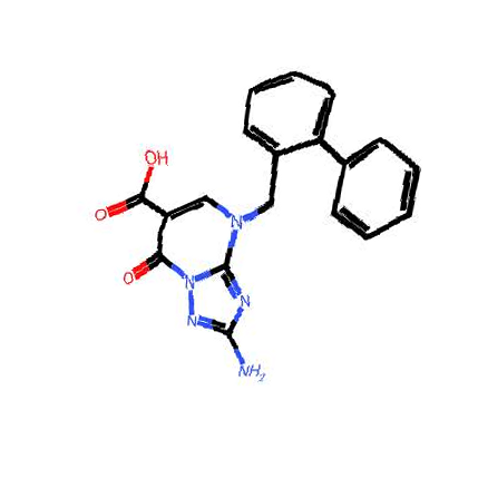 Nc1nc2n(Cc3ccccc3-c3ccccc3)cc(C(=O)O)c(=O)n2n1